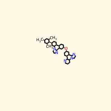 Cc1cc(C)c(-c2ccc3c4ccc(Oc5ccc6c(c5)c5nccn5c5cccnc65)cc4c4nccn4c3c2)c(C)c1